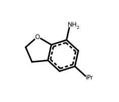 CC(C)c1cc(N)c2c(c1)CCO2